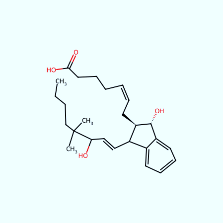 CCCCC(C)(C)C(O)C=CC1c2ccccc2[C@@H](O)[C@@H]1C/C=C\CCCC(=O)O